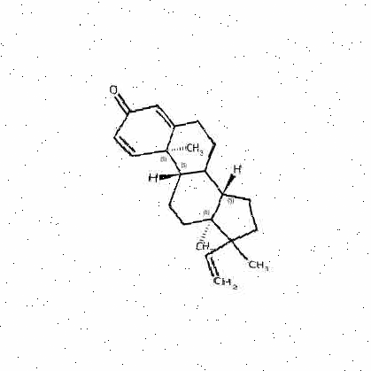 C=CC1(C)CC[C@H]2C3CCC4=CC(=O)C=C[C@]4(C)[C@H]3CC[C@@]21C